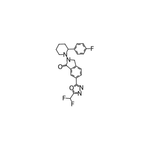 O=C1c2cc(-c3nnc(C(F)F)o3)ccc2CN1N1CCCCC1c1ccc(F)cc1